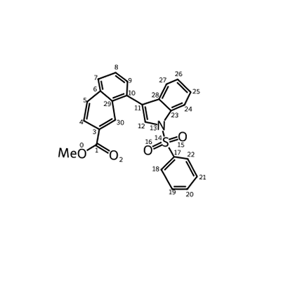 COC(=O)c1ccc2cccc(-c3cn(S(=O)(=O)c4ccccc4)c4ccccc34)c2c1